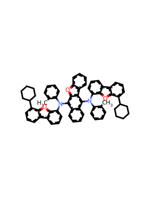 Cc1ccccc1N(c1cccc2c1oc1c(C3CCCCC3)cccc12)c1c2ccccc2c(N(c2ccccc2C)c2cccc3c2oc2c(C4CCCCC4)cccc23)c2c1oc1ccccc12